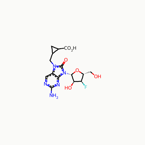 Nc1ncc2c(n1)n([C@@H]1O[C@H](CO)[C@@H](F)[C@H]1O)c(=O)n2CC1CC1C(=O)O